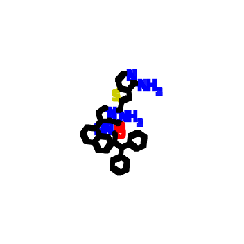 NC(=O)[C@]1(NC(=O)CC(c2ccccc2)c2ccccc2)C(c2cccc3ccccc23)CCN1Cc1cc2c(N)nccc2s1